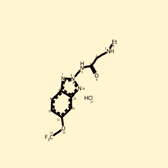 CCNCC(=O)Nn1nc2ccc(OC(F)(F)F)cc2n1.Cl